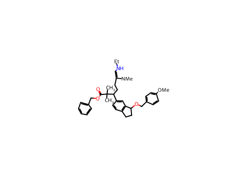 CCN/C=C(/CCC(c1ccc2c(c1)C(OCc1ccc(OC)cc1)CC2)C(C)(C)C(=O)OCc1ccccc1)NC